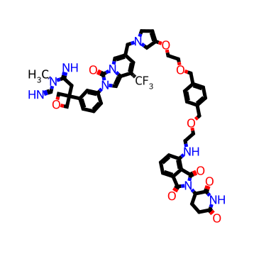 CN(C=N)C(=N)CC1(c2cccc(-n3cc4c(C(F)(F)F)cc(CN5CC=C(OCCOCc6ccc(COCCNc7cccc8c7C(=O)N(C7CCC(=O)NC7=O)C8=O)cc6)C5)cn4c3=O)c2)COC1